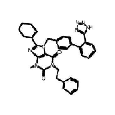 Cn1c(=O)n(CCc2ccccc2)c(=O)c2c1nc(C1CCCCC1)n2Cc1ccc(-c2ccccc2-c2nnn[nH]2)cc1